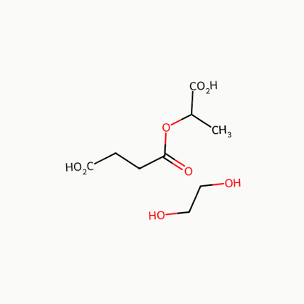 CC(OC(=O)CCC(=O)O)C(=O)O.OCCO